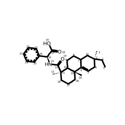 CC[C@@]1(C)CC=C2C(CCC3[C@](C)(C(=O)N[C@H](C(=O)O)c4ccccc4)CCC[C@@]23C)C1